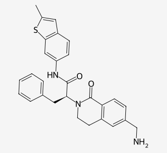 Cc1cc2ccc(NC(=O)[C@H](Cc3ccccc3)N3CCc4cc(CN)ccc4C3=O)cc2s1